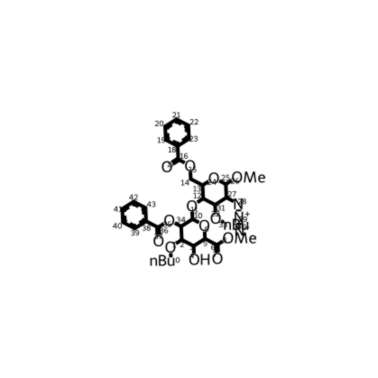 CCCCOC1C(O)C(C(=O)OC)OC(OC2C(COC(=O)c3ccccc3)OC(OC)C(N=[N+]=[N-])C2OCCCC)C1OC(=O)c1ccccc1